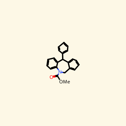 COC(=O)N1Cc2ccccc2C(c2ccccc2)c2ccccc21